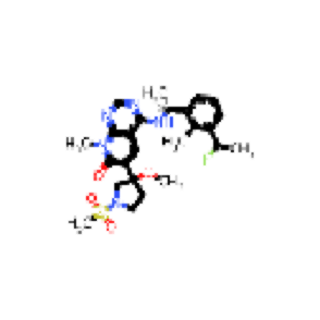 COC1(c2cc3c(N[C@H](C)c4cccc(C(C)F)c4C)ncnc3n(C)c2=O)CCN(S(C)(=O)=O)C1